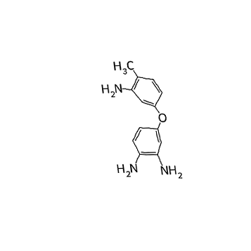 Cc1ccc(Oc2ccc(N)c(N)c2)cc1N